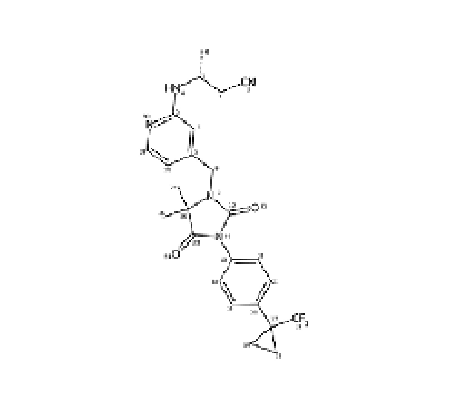 C[C@H](CC#N)Nc1cc(CN2C(=O)N(c3ccc(C4(C(F)(F)F)CC4)cc3)C(=O)C2(C)C)ccn1